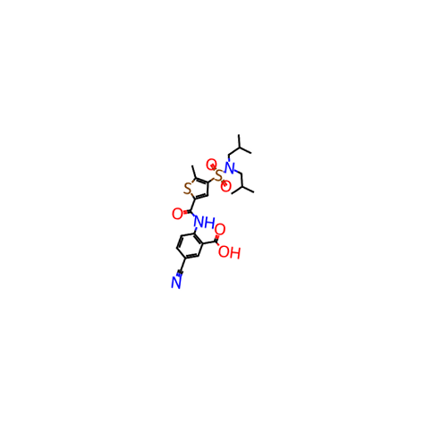 Cc1sc(C(=O)Nc2ccc(C#N)cc2C(=O)O)cc1S(=O)(=O)N(CC(C)C)CC(C)C